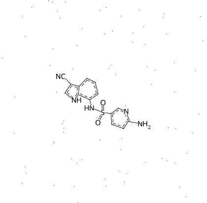 N#Cc1c[nH]c2c(NS(=O)(=O)c3ccc(N)nc3)cccc12